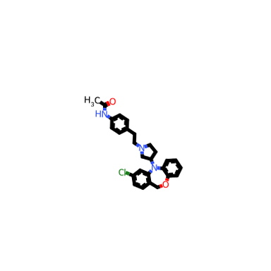 CC(=O)Nc1ccc(CCN2CCC(N3c4cc(Cl)ccc4COc4ccccc43)C2)cc1